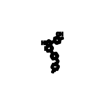 Cc1ccc(-c2c[nH]c3ncc(-c4ccc(CN5CCN(C)CC5)cc4)cc23)cc1O